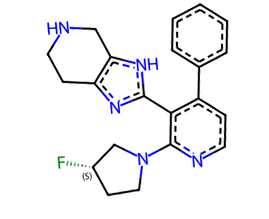 F[C@H]1CCN(c2nccc(-c3ccccc3)c2-c2nc3c([nH]2)CNCC3)C1